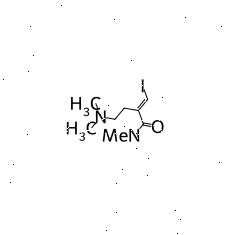 CNC(=O)/C(=C/I)CCN(C)C